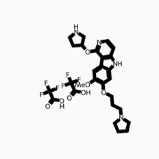 COc1cc2c(cc1OCCCN1CCCC1)[nH]c1ccnc(OC3CCNC3)c12.O=C(O)C(F)(F)F.O=C(O)C(F)(F)F